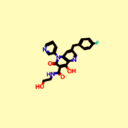 O=C(NCCO)c1c(O)c2ncc(Cc3ccc(F)cc3)cc2n(-c2cccnc2)c1=O